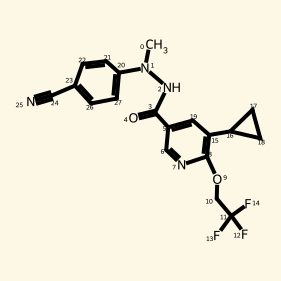 CN(NC(=O)c1cnc(OCC(F)(F)F)c(C2CC2)c1)c1ccc(C#N)cc1